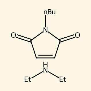 CCCCN1C(=O)C=CC1=O.CCNCC